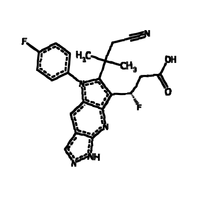 CC(C)(CC#N)c1c([C@@H](F)CC(=O)O)c2nc3[nH]ncc3cc2n1-c1ccc(F)cc1